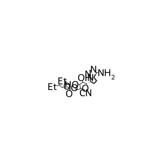 CCC(CC)COC(=O)OC[C@@]1(C#N)O[C@@H](c2ccc3c(N)ncnn23)[C@H](O)[C@@H]1O